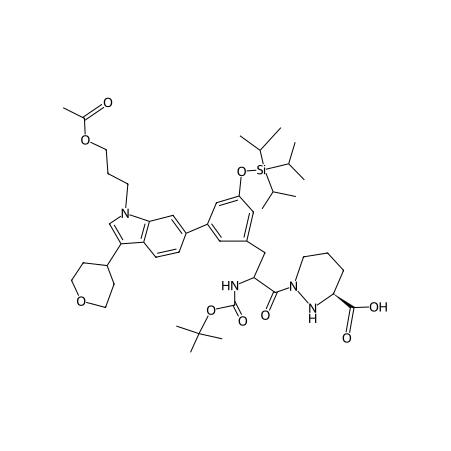 CC(=O)OCCCn1cc(C2CCOCC2)c2ccc(-c3cc(CC(NC(=O)OC(C)(C)C)C(=O)N4CCC[C@@H](C(=O)O)N4)cc(O[Si](C(C)C)(C(C)C)C(C)C)c3)cc21